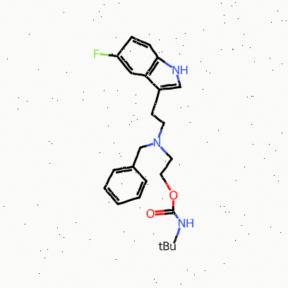 CC(C)(C)NC(=O)OCCN(CCc1c[nH]c2ccc(F)cc12)Cc1ccccc1